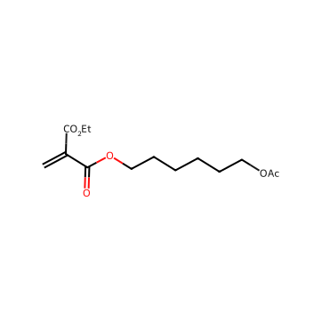 C=C(C(=O)OCC)C(=O)OCCCCCCOC(C)=O